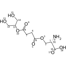 N[C@@H](COC(=O)CCC(=O)OC(CO)CO)C(=O)O